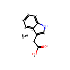 O=C(O)Cc1c[nH]c2ccccc12.[NaH]